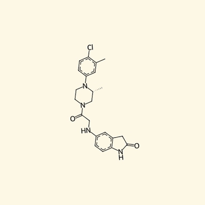 Cc1cc(N2CCN(C(=O)CNc3ccc4c(c3)CC(=O)N4)C[C@H]2C)ccc1Cl